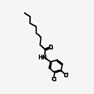 CCCCCCCC(=O)Nc1ccc(Cl)c(Cl)c1